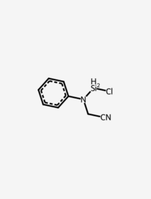 N#CCN([SiH2]Cl)c1ccccc1